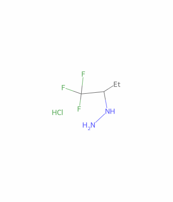 CCC(NN)C(F)(F)F.Cl